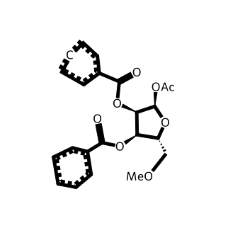 COC[C@H]1O[C@H](OC(C)=O)[C@H](OC(=O)c2ccccc2)[C@@H]1OC(=O)c1ccccc1